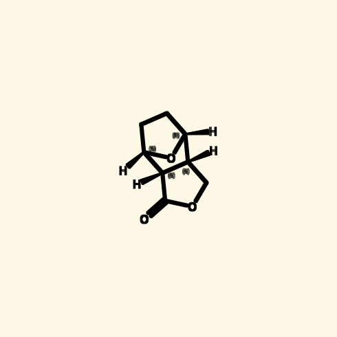 O=C1OC[C@@H]2[C@H]1[C@@H]1CC[C@H]2O1